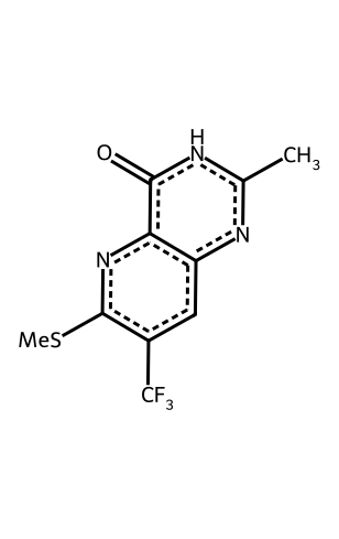 CSc1nc2c(=O)[nH]c(C)nc2cc1C(F)(F)F